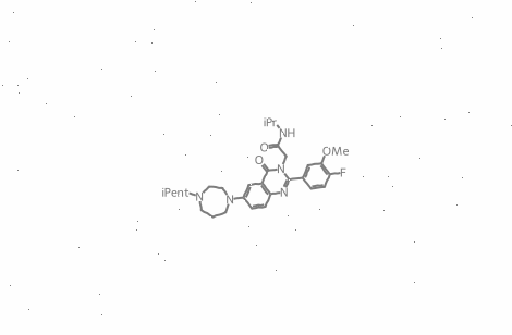 CCCC(C)N1CCCN(c2ccc3nc(-c4ccc(F)c(OC)c4)n(CC(=O)NC(C)C)c(=O)c3c2)CC1